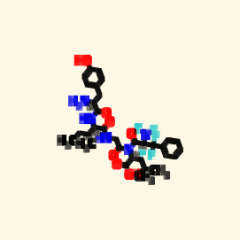 CC[C@@H](C)[C@@H](NC(=O)[C@@H](N)Cc1ccc(O)cc1)C(=O)NCC(=O)N(C(=O)[C@@](F)(N(F)F)C(F)(F)c1ccccc1)[C@@H](CC(C)C)C(=O)O